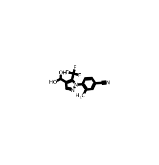 Cc1cc(C#N)ccc1-n1ncc(C(O)O)c1C(F)(F)F